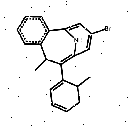 CC1CC=CC=C1C1=C2C=C(Br)C=C(N2)c2ccccc2C1C